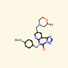 CCC1CN(Cc2cnc3c(c2)c2ncnn2c(=O)n3Cc2ccc(OC)cc2)CCO1